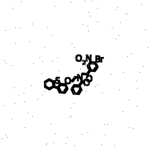 O=C(CN(CCOc1cccc2c3c(sc12)CCCC3)C(=O)c1ccccc1)c1ccc(Br)c([N+](=O)[O-])c1